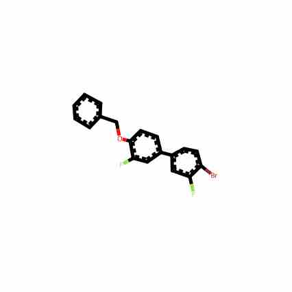 Fc1cc(-c2ccc(OCc3ccccc3)c(F)c2)ccc1Br